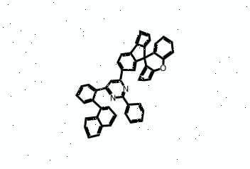 c1ccc(-c2nc(-c3ccc4c(c3)C3(c5ccccc5Oc5ccccc53)c3ccccc3-4)cc(-c3ccccc3-c3cccc4ccccc34)n2)cc1